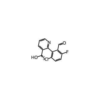 O=Cc1c(F)ccc(Cl)c1-c1ncccc1C(O)=S